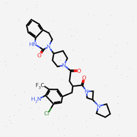 Nc1c(Cl)cc(CC(CC(=O)N2CCC(N3CCc4ccccc4NC3=O)CC2)C(=O)N2CC(N3CCCC3)C2)cc1C(F)(F)F